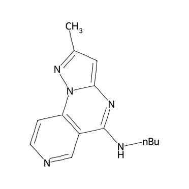 CCCCNc1nc2cc(C)nn2c2ccncc12